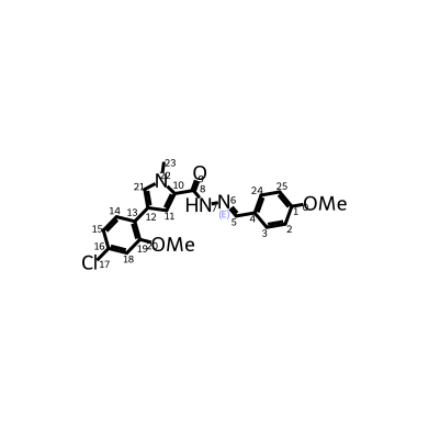 COc1ccc(/C=N/NC(=O)c2cc(-c3ccc(Cl)cc3OC)cn2C)cc1